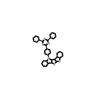 c1ccc(-c2nc(-c3ccccc3)nc(-c3ccc(-n4c5ccccc5c5sc6sc7ccccc7c6c54)cc3)n2)cc1